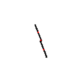 CCCCCCCCCCCCCCCCCCC(C)(C)C(C)(C)CCCCCCCCCCCCCCCCCC